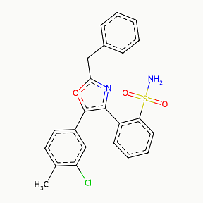 Cc1ccc(-c2oc(Cc3ccccc3)nc2-c2ccccc2S(N)(=O)=O)cc1Cl